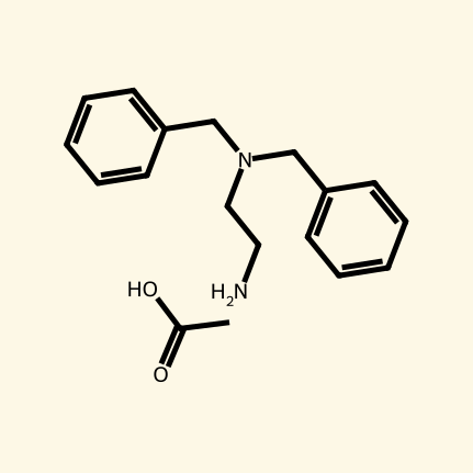 CC(=O)O.NCCN(Cc1ccccc1)Cc1ccccc1